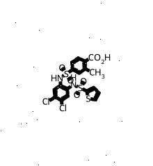 Cc1cc(S(=O)(=O)Nc2cc(Cl)c(Cl)cc2NS(=O)(=O)c2cccs2)ccc1C(=O)O